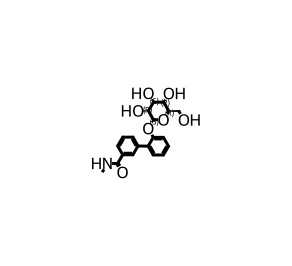 CNC(=O)c1cccc(-c2ccccc2O[C@@H]2O[C@H](CO)[C@H](O)[C@H](O)[C@H]2O)c1